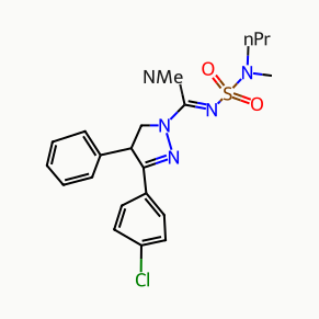 CCCN(C)S(=O)(=O)/N=C(\NC)N1CC(c2ccccc2)C(c2ccc(Cl)cc2)=N1